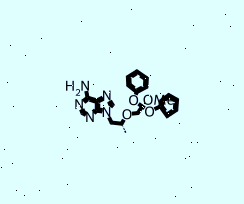 COC(CO[C@H](C)Cn1cnc2c(N)ncnc21)(Oc1ccccc1)Oc1ccccc1